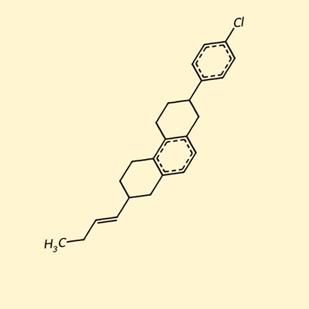 CCC=CC1CCc2c(ccc3c2CCC(c2ccc(Cl)cc2)C3)C1